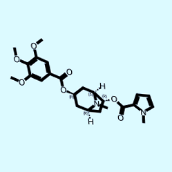 COc1cc(C(=O)O[C@@H]2C[C@@H]3C[C@@H](OC(=O)c4cccn4C)[C@H](C2)N3C)cc(OC)c1OC